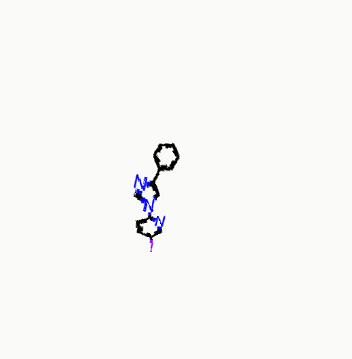 Ic1ccc(-n2cnc(-c3ccccc3)c2)nc1